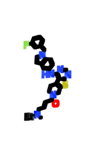 CCN(C)CC=CC(=O)N1CCc2c(sc3ncnc(Nc4ccc5c(ccn5Cc5cccc(F)c5)c4)c23)C1